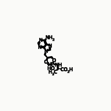 C[C@H](N[PH]1(O)CO[C@@H](Cn2cnc3c(N)ncnc32)CO1)C(=O)O